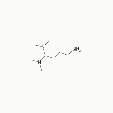 CN(C)C(CCC[SiH3])N(C)C